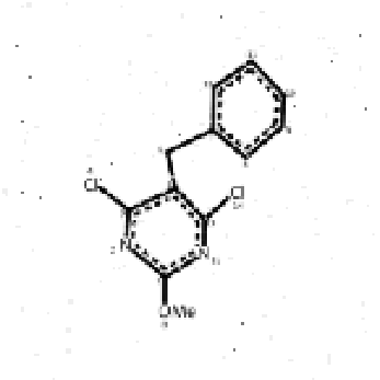 COc1nc(Cl)c(Cc2ccccc2)c(Cl)n1